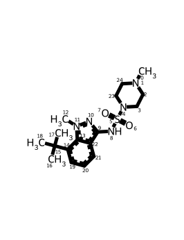 CN1CCN(S(=O)(=O)Nc2nn(C)c3c(C(C)(C)C)cccc23)CC1